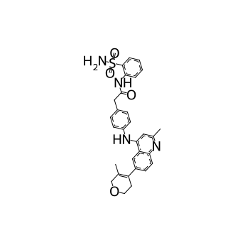 CC1=C(c2ccc3nc(C)cc(Nc4ccc(CC(=O)Nc5ccccc5S(N)(=O)=O)cc4)c3c2)CCOC1